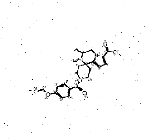 CC1Cn2c(C(=O)C(F)(F)F)ccc2C2(CCN(C(=O)c3ccc(OCC(F)(F)F)cc3)CC2)N1C